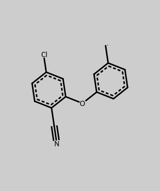 [CH2]c1cccc(Oc2cc(Cl)ccc2C#N)c1